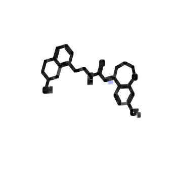 O=C(/C=C1\CCCOc2cc(C(F)(F)F)ccc21)NCCc1cccc2c1CC(O)CC2